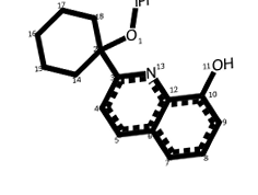 CC(C)OC1(c2ccc3cccc(O)c3n2)CCCCC1